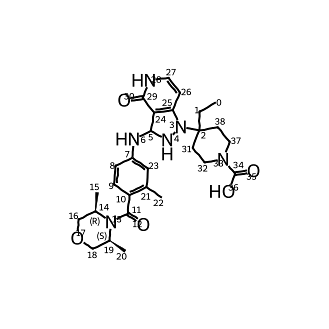 CCC1(N2NC(Nc3ccc(C(=O)N4[C@H](C)COC[C@@H]4C)c(C)c3)c3c2cc[nH]c3=O)CCN(C(=O)O)CC1